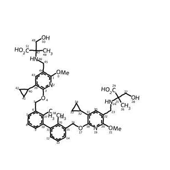 COc1nc(OCc2cccc(-c3cccc(COc4nc(OC)c(CNC(C)(CO)C(=O)O)cc4C4CC4)c3C)c2C)c(C2CC2)cc1CNC(C)(CO)C(=O)O